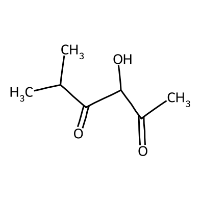 CC(=O)C(O)C(=O)C(C)C